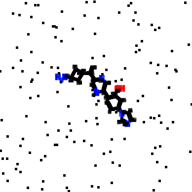 C=C(c1cnc(-c2ccc(-n3ccnc3)cc2O)cn1)C1CC(N)C1